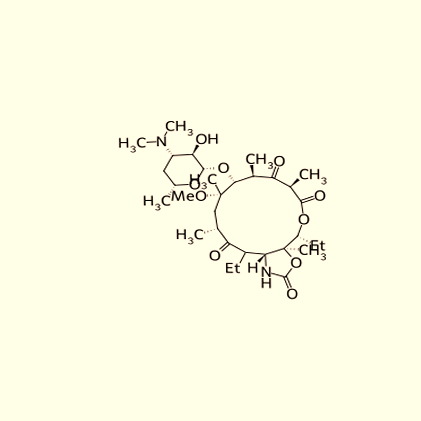 CCC1C(=O)[C@H](C)C[C@](C)(OC)[C@H](O[C@@H]2O[C@H](C)C[C@H](N(C)C)[C@H]2O)[C@@H](C)C(=O)[C@@H](C)C(=O)O[C@H](CC)[C@@]2(C)OC(=O)N[C@H]12